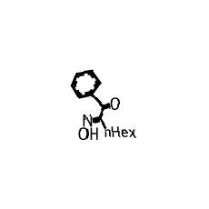 CCCCCCC(=NO)C(=O)c1ccccc1